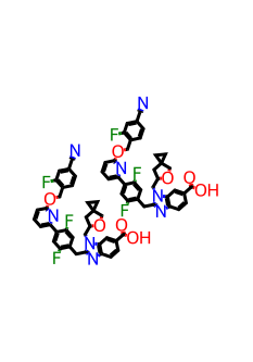 N#Cc1ccc(COc2cccc(-c3cc(F)c(Cc4nc5ccc(C(=O)O)cc5n4CC4CC5(CC5)CO4)cc3F)n2)c(F)c1.N#Cc1ccc(COc2cccc(-c3cc(F)c(Cc4nc5ccc(C(=O)O)cc5n4CC4CC5(CC5)CO4)cc3F)n2)c(F)c1